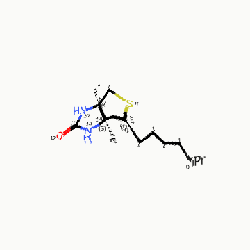 CC(C)CCCC[C@@H]1SC[C@]2(C)NC(=O)N[C@]12C